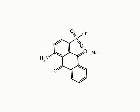 Nc1ccc(S(=O)(=O)[O-])c2c1C(=O)c1ccccc1C2=O.[Na+]